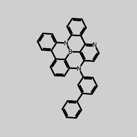 c1ccc(-c2cccc(N3c4cccc5c4B4c6c3ccnc6-c3ccccc3N4c3ccccc3-5)c2)cc1